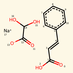 O=C(O)C=Cc1ccccc1.O=C([O-])C(O)O.[Na+]